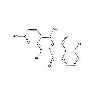 O=C1c2cccc(O)c2C(=O)c2c1c(O)c1cc(O)ccc1c2O